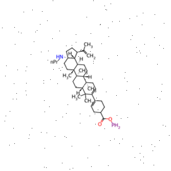 C=C(C)[C@@H]1CC[C@]2(NCCC)CC[C@]3(C)[C@H](CC[C@@H]4[C@@]5(C)CC=C(C6=CCC(C(=O)OP)CC6)C(C)(C)[C@@H]5CC[C@]43C)[C@@H]12